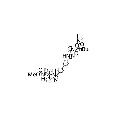 CCCC[C@H](OC(N)=O)C(=O)N1CCC[C@H]1c1ncc(-c2ccc(-c3ccc(-c4cnc(C5CCCN5C(=O)[C@@H](NC(=O)OC)C(C)C)[nH]4)cc3)cc2)[nH]1